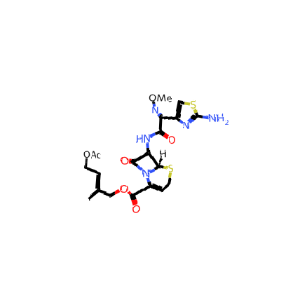 CON=C(C(=O)NC1C(=O)N2C(C(=O)OCC(C)=CCOC(C)=O)=CCS[C@@H]12)c1csc(N)n1